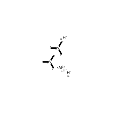 CN(C)C.CN(C)C.[Al+3].[H-].[H-].[H-]